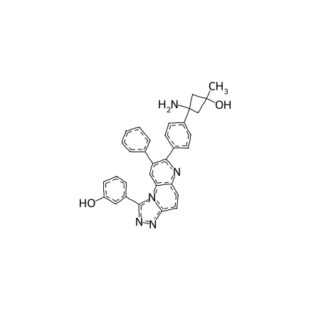 CC1(O)CC(N)(c2ccc(-c3nc4ccc5nnc(-c6cccc(O)c6)n5c4cc3-c3ccccc3)cc2)C1